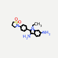 CCn1c(-c2ccc(N3CCCS3(=O)=O)cc2)c(N)c2ccc(N)cc21